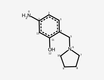 Nc1ccc(CN2CCCC2)c(O)c1